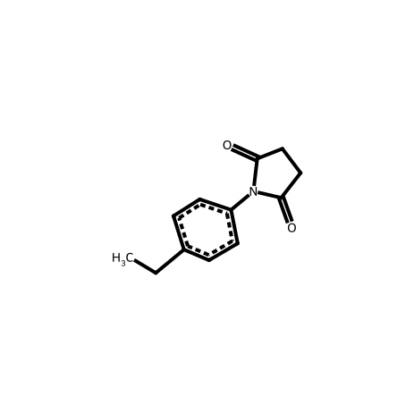 CCc1ccc(N2C(=O)CCC2=O)cc1